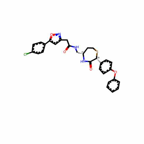 O=C(Cc1cc(-c2ccc(Cl)cc2)on1)NC[C@@H]1CCS[C@H](c2ccc(Oc3ccccc3)cc2)C(=O)N1